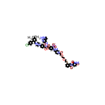 CC1(C)CCC(CN2CCN(c3ccc(C(=O)NS(=O)(=O)c4ccc(NCC5CCN(C(=O)COCCOCCSc6cccc7c6CN(C6CCC(=O)NC6=O)C7=O)CC5)c([N+](=O)[O-])c4)c(Oc4cnc5[nH]ccc5c4)c3)CC2)=C(c2ccc(Cl)cc2)C1